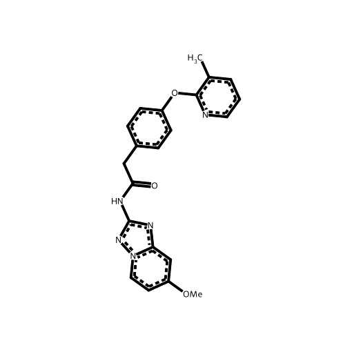 COc1ccn2nc(NC(=O)Cc3ccc(Oc4ncccc4C)cc3)nc2c1